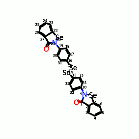 O=c1c2ccccc2[se]n1-c1ccc([Se][Se]c2ccc(-n3[se]c4ccccc4c3=O)cc2)cc1